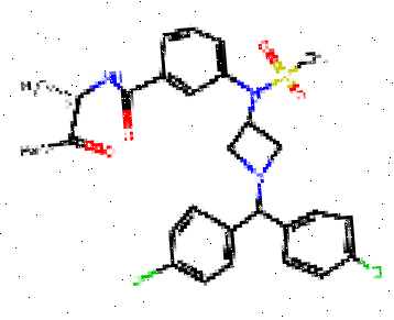 CNC(=O)[C@H](C)NC(=O)c1cccc(N(C2CN(C(c3ccc(Cl)cc3)c3ccc(Cl)cc3)C2)S(C)(=O)=O)c1